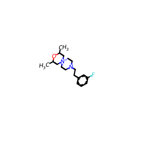 CC1C[N+]2(CCN(CCc3cccc(F)c3)CC2)CC(C)O1